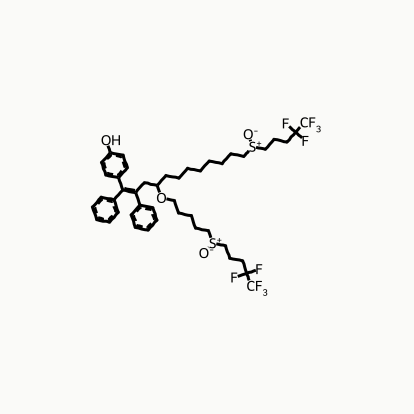 [O-][S+](CCCCCCCCC(CC(=C(c1ccccc1)c1ccc(O)cc1)c1ccccc1)OCCCCC[S+]([O-])CCCC(F)(F)C(F)(F)F)CCCC(F)(F)C(F)(F)F